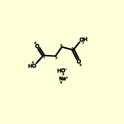 O=C(O)CCC(=O)O.[Na+].[OH-]